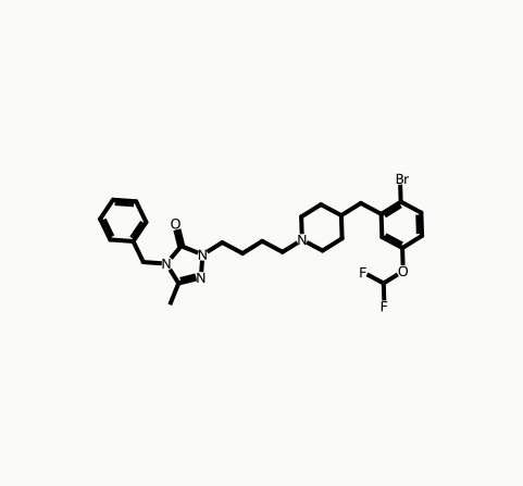 Cc1nn(CCCCN2CCC(Cc3cc(OC(F)F)ccc3Br)CC2)c(=O)n1Cc1ccccc1